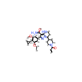 C=CC(=O)N1CCC(C2CCNc3c(C(N)=O)c(-c4cc(OC)c(C5CC5)c(OCC)c4)nn32)CC1